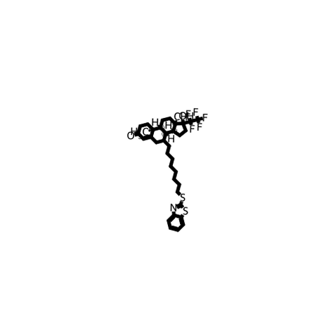 C[C@]12CCC(=O)C=C1CC(CCCCCCCCSc1nc3ccccc3s1)[C@@H]1[C@H]2CC[C@@]2(C)[C@H]1CCC2(O)C(F)(F)C(F)(F)F